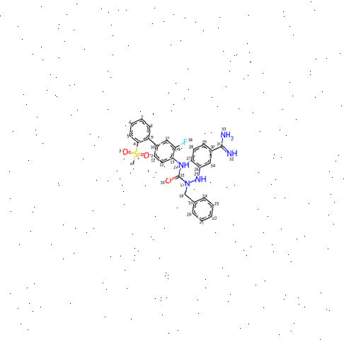 CS(=O)(=O)c1ccccc1-c1ccc(NC(=O)N(Cc2ccccc2)Nc2cccc(C(=N)N)c2)c(F)c1